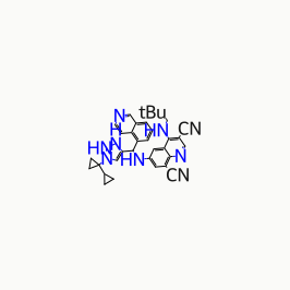 CC(C)(C)CNc1c(C#N)cnc2c(C#N)cc(N[C@H](C3=CN(C4(C5CC5)CC4)NN3)c3cccc4cnccc34)cc12